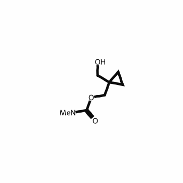 CNC(=O)OCC1(CO)CC1